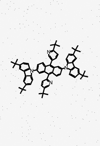 CC(C)(C)c1ccc(-c2c3ccc(-n4c5ccc(C(C)(C)C)cc5c5cc(C(C)(C)C)ccc54)cc3c(-c3ccc(C(C)(C)C)nc3)c3ccc(-n4c5ccc(C(C)(C)C)cc5c5cc(C(C)(C)C)ccc54)cc23)nc1